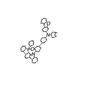 O=P1(c2ccccc2)c2ccccc2-c2ccc3c4ccccc4n(-c4ccc(-c5ccc(N(c6ccccc6)c6ccc7c(c6)oc6ccccc67)cc5)cc4)c3c21